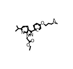 CCOC(=O)Cn1nc(-c2ccc(OCCCN(C)C)cc2)c2ccc(C(C)C)nc21